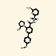 CC(C)Oc1ccc(-c2ccc(C(=O)NS(=O)(=O)c3cccc(N)n3)c(N3CCCC3C(C)C)n2)cn1